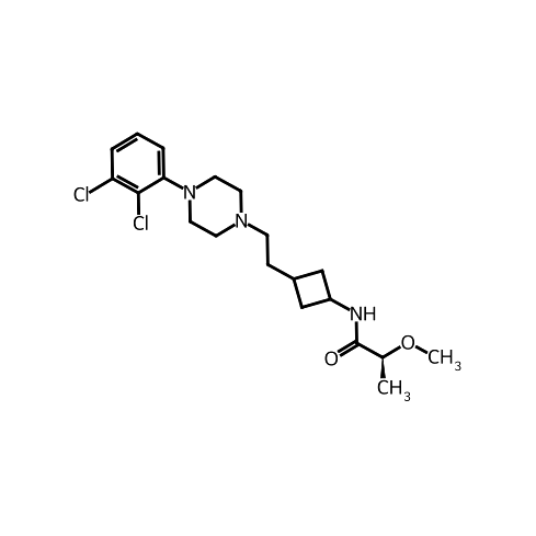 CO[C@@H](C)C(=O)NC1CC(CCN2CCN(c3cccc(Cl)c3Cl)CC2)C1